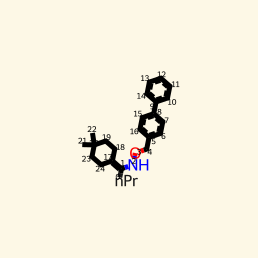 CCCC(NOCc1ccc(-c2ccccc2)cc1)=C1CCC(C)(C)CC1